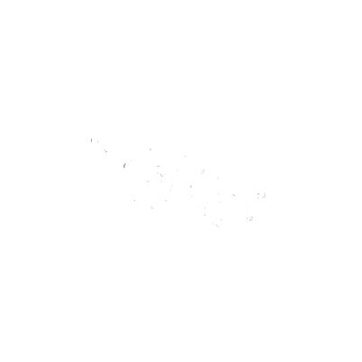 Cl.N=C(N)N(Cl)c1cncc2cc(S(=O)(=O)NC3(C(=O)NCCO)CCCC3)ccc12